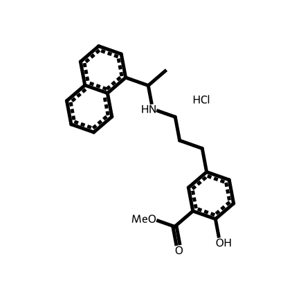 COC(=O)c1cc(CCCNC(C)c2cccc3ccccc23)ccc1O.Cl